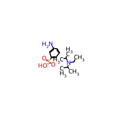 CCN(C(C)C)C(C)C.Nc1cccc(S(=O)(=O)O)c1